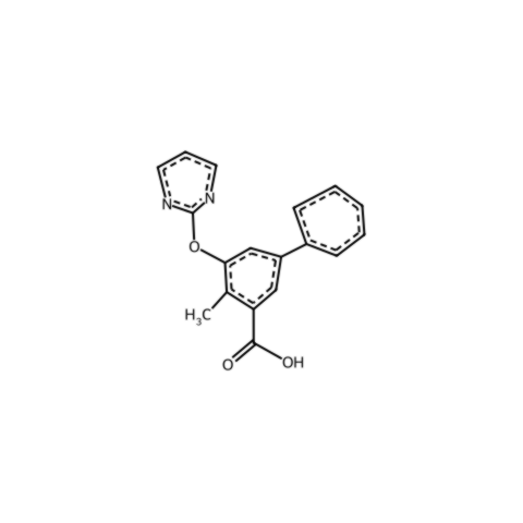 Cc1c(Oc2ncccn2)cc(-c2ccccc2)cc1C(=O)O